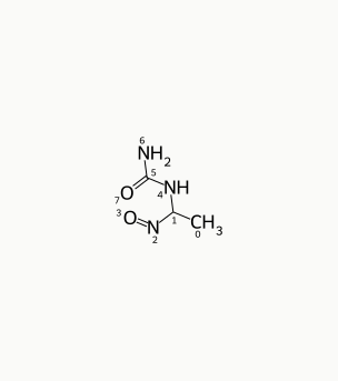 CC(N=O)NC(N)=O